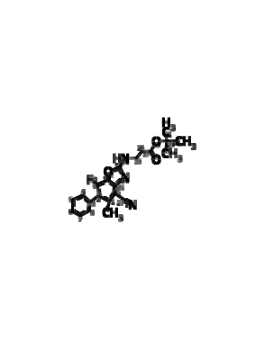 Cc1c(-c2ccccc2)c(F)c2oc(NCCC(=O)OC(C)(C)C)nc2c1C#N